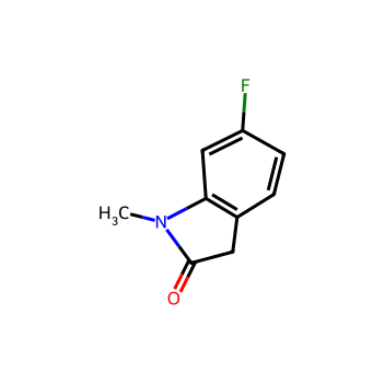 CN1C(=O)Cc2ccc(F)cc21